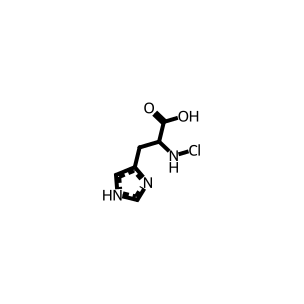 O=C(O)C(Cc1c[nH]cn1)NCl